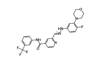 O=C(Nc1cccc(C(F)(F)F)c1)c1ccnc(/C=N/Nc2ccc(F)c(N3CCOCC3)c2)c1